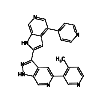 Cc1ccncc1-c1cc2c(-c3cc4c(-c5ccncc5)cncc4[nH]3)n[nH]c2cn1